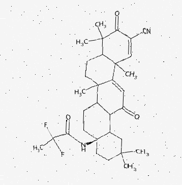 CC1(C)CC[C@]2(NC(=O)C(C)(F)F)CCC3C(C(=O)C=C4C5(C)C=C(C#N)C(=O)C(C)(C)C5CCC43C)C2C1